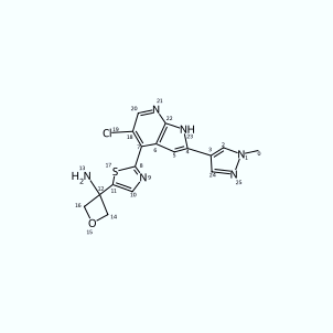 Cn1cc(-c2cc3c(-c4ncc(C5(N)COC5)s4)c(Cl)cnc3[nH]2)cn1